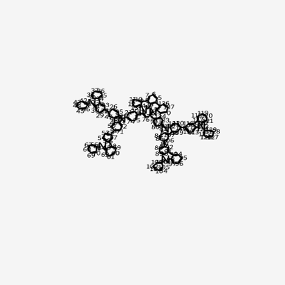 c1ccc(-c2cccc(-c3ccccc3)c2-c2nc(-c3ccc(-n4c5ccc(-c6ccc7c(c6)c6ccccc6n7-c6ccccc6)cc5c5cc(-c6ccc7c(c6)c6ccccc6n7-c6ccccc6)ccc54)cc3)cc(-c3ccc(-n4c5ccc(-c6ccc7c(c6)c6ccccc6n7-c6ccccc6)cc5c5cc(-c6ccc7c(c6)c6ccccc6n7-c6ccccc6)ccc54)cc3)n2)cc1